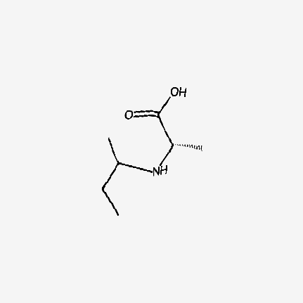 CCC(C)N[C@@H](C)C(=O)O